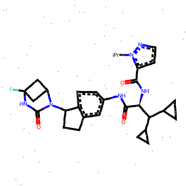 CC(C)n1nccc1C(=O)N[C@H](C(=O)Nc1ccc2c(c1)CCC2N1C(=O)NC2(F)CC1C2)C(C1CC1)C1CC1